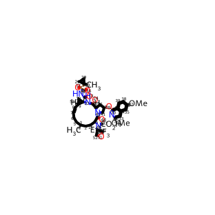 CC[C@@H]1C[C@@H](C)CCC=C[C@@H]2C[C@@]2(C(=O)NS(=O)(=O)C2(C)CC2)NC(=O)[C@@H]2C[C@@H](Oc3nc(OC)cc4cc(OC)ccc34)CN2C(=O)[C@H]1N(C(=O)O)C1(C(F)(F)F)COC1